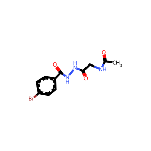 CC(=O)NCC(=O)NNC(=O)c1ccc(Br)cc1